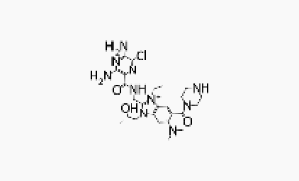 CC[n+]1c(CNC(=O)c2nc(Cl)c(N)nc2N)n(C[C@H](C)O)c2cc(N(C)C)c(C(=O)N3CCNCC3)cc21